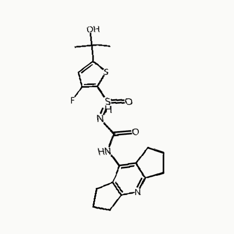 CC(C)(O)c1cc(F)c(/[SH](=O)=N/C(=O)Nc2c3c(nc4c2CCC4)CCC3)s1